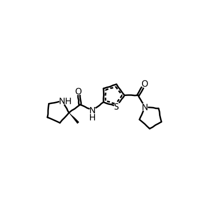 C[C@@]1(C(=O)Nc2ccc(C(=O)N3CCCC3)s2)CCCN1